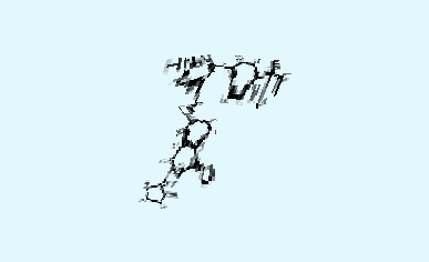 O=C1c2ccc(OCc3c[nH]nc3-c3ccc(C(F)(F)F)cc3)cc2CN1C1CCCC1